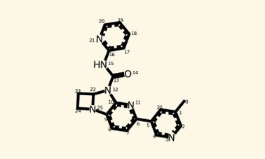 Cc1cncc(-c2ccc3c(n2)N(C(=O)Nc2ccccn2)C2CCN32)c1